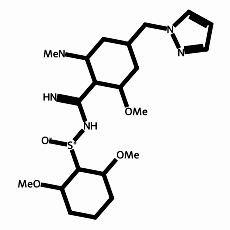 CNC1CC(Cn2cccn2)CC(OC)C1C(=N)N[S+]([O-])C1C(OC)CCCC1OC